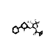 C[C@@H]1[C@H](Cc2cccc(-c3ccccc3)c2F)N(C(=O)C23CC2C3)CC1(F)F